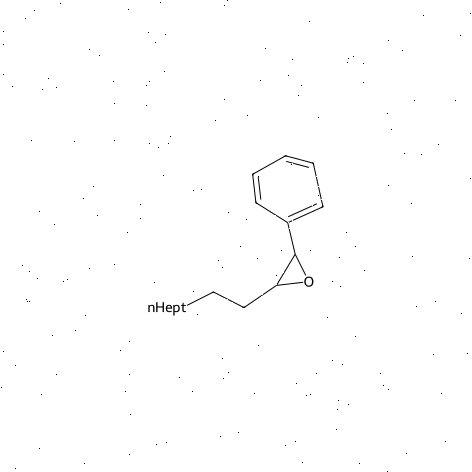 CCCCCCCCCC1OC1c1ccccc1